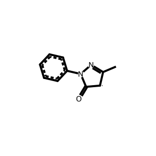 CC1=NN(c2ccccc2)C(=O)[CH]1